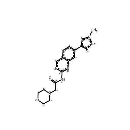 Cn1cc(-c2ccc3cnc(NC(=O)CN4CCOCC4)nc3c2)nn1